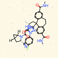 CNC(=O)c1ccc2c(c1)CCc1cc(C(=O)NC)ccc1C2(C[C@@H](C)NCC(=O)N1[C@H](C#N)C[C@@H]2C[C@@H]21)c1nn(-c2ccc(F)cc2)c(=O)[nH]1